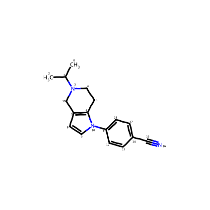 CC(C)N1CCc2c(ccn2-c2ccc(C#N)cc2)C1